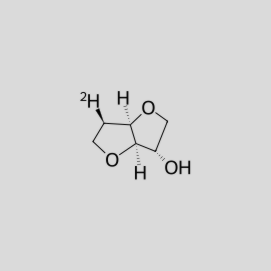 [2H][C@@H]1CO[C@H]2[C@@H]1OC[C@@H]2O